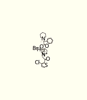 C[C@@](C(=O)O[C@H]1C[N+]2(CC(=O)c3sccc3Cl)CCC1CC2)(c1ccccc1)N1CCCCC1.[Br-]